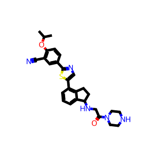 CC(C)Oc1ccc(-c2ncc(-c3cccc4c3CCC4NCC(=O)N3CCNCC3)s2)cc1C#N